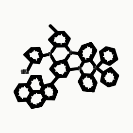 Cc1ccc2c(c1)N(c1cccc(C(C)(C)C)c1)c1cc(-c3ccc4ccc5cccc6ccc3c4c56)cc3c1B2c1cccc2c1N3c1ccccc1[Si]2(c1ccccc1)c1ccccc1